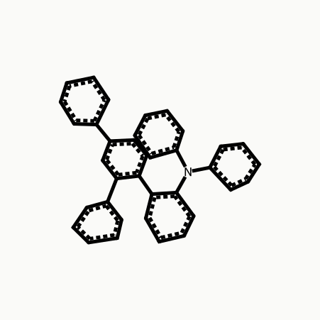 c1ccc(-c2ccc(-c3ccccc3N(c3ccccc3)c3ccccc3)c(-c3ccccc3)c2)cc1